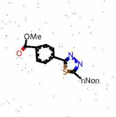 CCCCCCCCCc1nnc(-c2ccc(C(=O)OC)cc2)s1